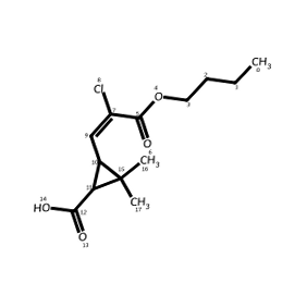 CCCCOC(=O)/C(Cl)=C\C1C(C(=O)O)C1(C)C